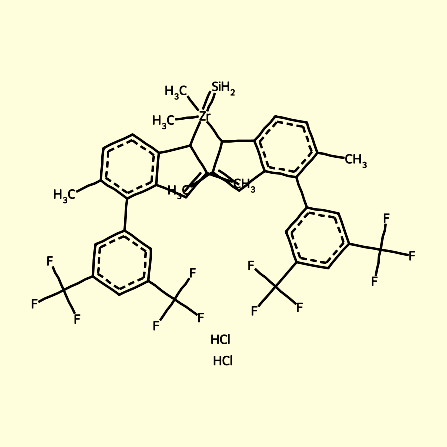 CC1=Cc2c(ccc(C)c2-c2cc(C(F)(F)F)cc(C(F)(F)F)c2)[CH]1[Zr]([CH3])([CH3])(=[SiH2])[CH]1C(C)=Cc2c1ccc(C)c2-c1cc(C(F)(F)F)cc(C(F)(F)F)c1.Cl.Cl